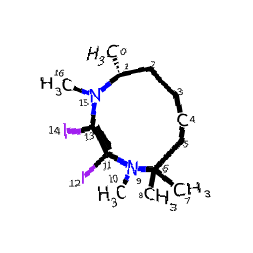 C[C@@H]1CCCCC(C)(C)N(C)/C(I)=C(/I)N1C